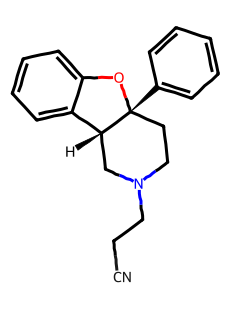 N#CCCN1CC[C@@]2(c3ccccc3)Oc3ccccc3[C@H]2C1